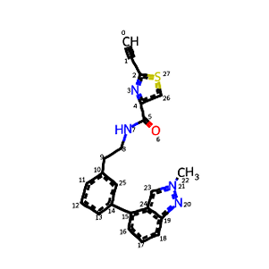 C#Cc1nc(C(=O)NCCc2cccc(-c3cccc4nn(C)cc34)c2)cs1